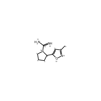 Cc1cc(C2CCCN2C(=N)N)on1